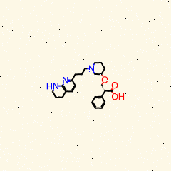 O=C(O)[C@@H](CO[C@@H]1CCCN(CCCc2ccc3c(n2)NCCC3)C1)c1ccccc1